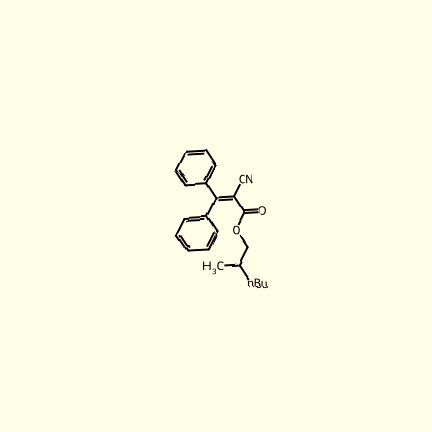 CCCCC(C)COC(=O)C(C#N)=C(c1ccccc1)c1ccccc1